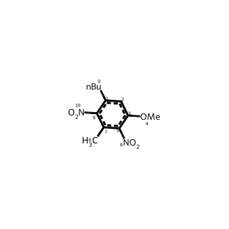 CCCCc1cc(OC)c([N+](=O)[O-])c(C)c1[N+](=O)[O-]